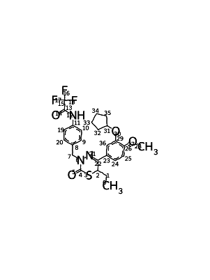 CCC1SC(=O)N(Cc2ccc(NC(=O)C(F)(F)F)cc2)N=C1c1ccc(OC)c(OC2CCCC2)c1